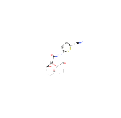 C[C@]12CC[C@](C)(O1)[C@@H]1C(=O)N(c3ccc(C#N)s3)C(=O)[C@H]12